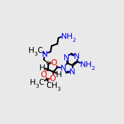 CN(CCCCN)C[C@H]1OC(n2cnc3c(N)ncnc32)[C@@H]2OC(C)(C)O[C@H]12